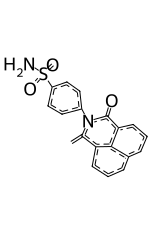 C=c1c2cccc3cccc(c(=O)n1-c1ccc(S(N)(=O)=O)cc1)c32